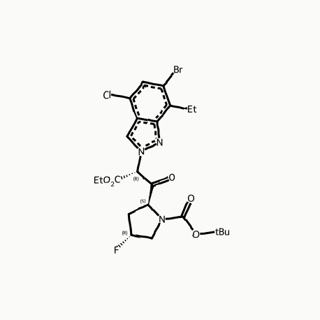 CCOC(=O)[C@@H](C(=O)[C@@H]1C[C@@H](F)CN1C(=O)OC(C)(C)C)n1cc2c(Cl)cc(Br)c(CC)c2n1